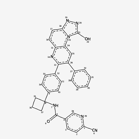 N#Cc1ccc(C(=O)NC2(c3ccc(-c4nc5ccc6nnc(O)n6c5cc4-c4ccccc4)cc3)CCC2)cn1